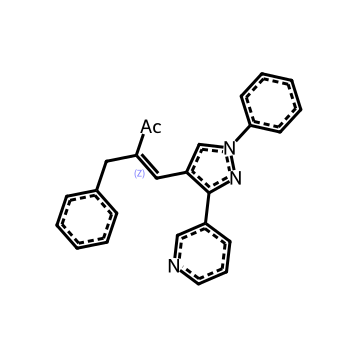 CC(=O)/C(=C\c1cn(-c2ccccc2)nc1-c1cccnc1)Cc1ccccc1